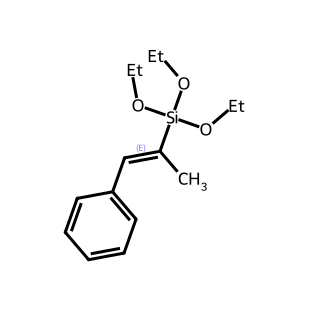 CCO[Si](OCC)(OCC)/C(C)=C/c1ccccc1